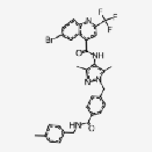 Cc1ccc(CNC(=O)c2ccc(Cn3nc(C)c(NC(=O)c4cc(C(F)(F)F)nc5ccc(Br)cc45)c3C)cc2)cc1